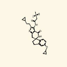 CS(=O)(=O)CC(=O)Nc1c2c(nn1CCC1CC1)C[C@@]1(CCc3cc(OC4CC4)ccc31)NC2=O